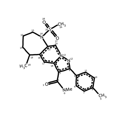 CNC(=O)c1c(-c2ccc(C)cc2)nn2cc3c(cc12)C(C)CCCN3S(C)(=O)=O